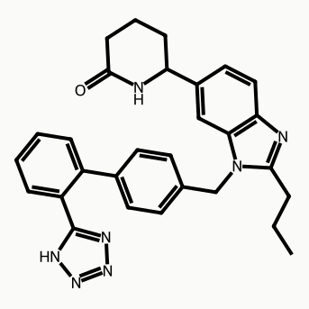 CCCc1nc2ccc(C3CCCC(=O)N3)cc2n1Cc1ccc(-c2ccccc2-c2nnn[nH]2)cc1